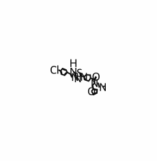 CN(C)CCN(Cc1ccco1)C(=O)C1CCN(C2=NN3C=C(c4ccc(Cl)cc4)NC3S2)CC1